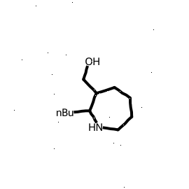 CCCCC1NCCCCC1CO